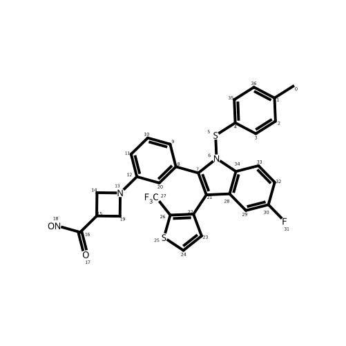 Cc1ccc(Sn2c(-c3cccc(N4CC(C(=O)N=O)C4)c3)c(-c3ccsc3C(F)(F)F)c3cc(F)ccc32)cc1